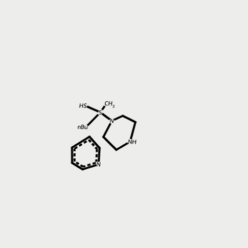 CCCCS(C)(S)N1CCNCC1.c1ccncc1